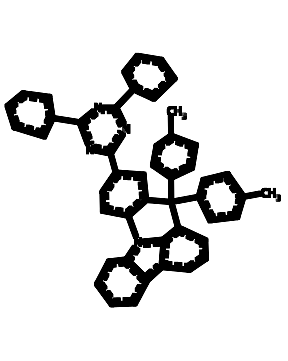 Cc1ccc(C2(c3ccc(C)cc3)c3cc(-c4nc(-c5ccccc5)nc(-c5ccccc5)n4)ccc3-n3c4ccccc4c4cccc2c43)cc1